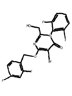 O=c1c(Br)c(OCc2ccc(F)cc2F)nc(CO)n1-c1c(F)cccc1F